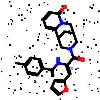 C=C(N/C(=C\c1ccco1)C(=O)N1CC2CC(C1)c1cccc(=O)n1C2)c1ccc(C)cc1